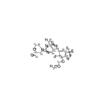 COCOc1c(F)c(-c2nn(C)c3nc(N4CCO[C@@H](C=O)C4)ncc23)cc(C(F)(F)F)c1F